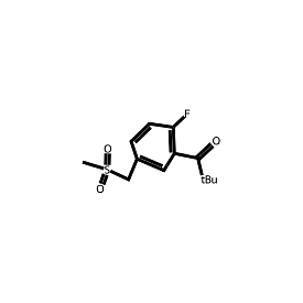 CC(C)(C)C(=O)c1cc(CS(C)(=O)=O)ccc1F